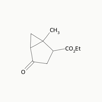 CCOC(=O)C1CC(=O)C2CC21C